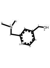 CN(C)Cc1cc(CO)ccn1